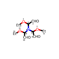 CCOC(C=O)N(C(C=O)OCC)C(C=O)OCC